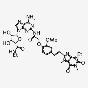 CCNC(=O)[C@H]1O[C@@H](n2cnc3c(N)nc(NC(=O)COc4ccc(/C=C/c5nc6c(c(=O)n(C)c(=O)n6CC)n5C)cc4OC)nc32)[C@H](O)[C@@H]1O